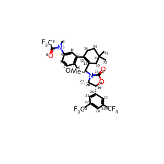 COc1ccc(N(C)C(=O)C(F)(F)F)cc1C1=C(CN2C(=O)O[C@H](c3cc(C(F)(F)F)cc(C(F)(F)F)c3)[C@@H]2C)CC(C)(C)CC1